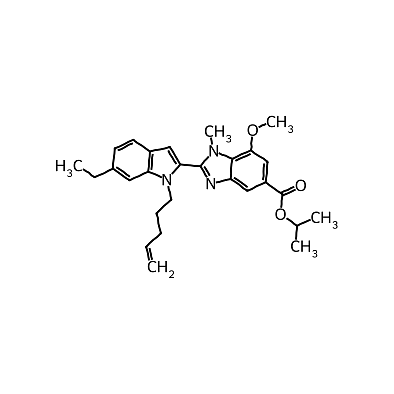 C=CCCCn1c(-c2nc3cc(C(=O)OC(C)C)cc(OC)c3n2C)cc2ccc(CC)cc21